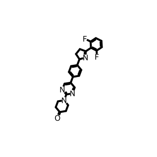 O=C1CCN(c2ncc(-c3ccc(C4CCC(c5c(F)cccc5F)=N4)cc3)cn2)CC1